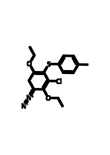 CCOC1=C(Sc2ccc(C)cc2)C(Cl)=C(OCC)C(=[N+]=[N-])C1